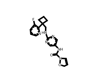 O=C(Nc1cnc(NCC2(c3ncccc3F)CCC2)nc1)N1C=CCO1